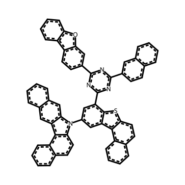 c1ccc2cc(-c3nc(-c4ccc5c(c4)oc4ccccc45)nc(-c4cc(-n5c6cc7ccccc7cc6c6c7ccccc7ccc65)cc5c4sc4ccc6ccccc6c45)n3)ccc2c1